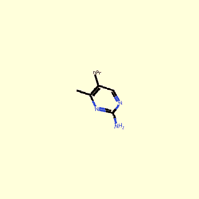 CCCc1cnc(N)nc1C